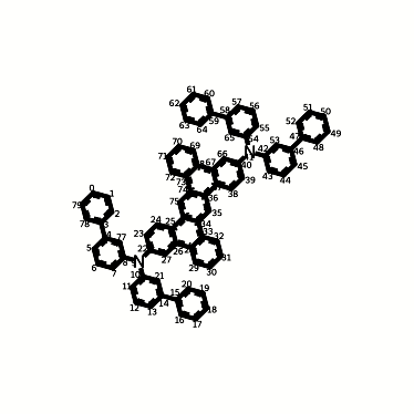 c1ccc(-c2cccc(N(c3cccc(-c4ccccc4)c3)c3ccc4c(c3)c3ccccc3c3cc5c6ccc(N(c7cccc(-c8ccccc8)c7)c7cccc(-c8ccccc8)c7)cc6c6ccccc6c5cc43)c2)cc1